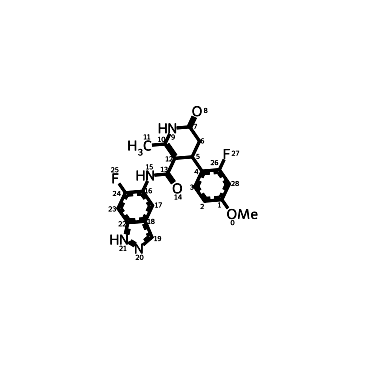 COc1ccc(C2CC(=O)NC(C)=C2C(=O)Nc2cc3cn[nH]c3cc2F)c(F)c1